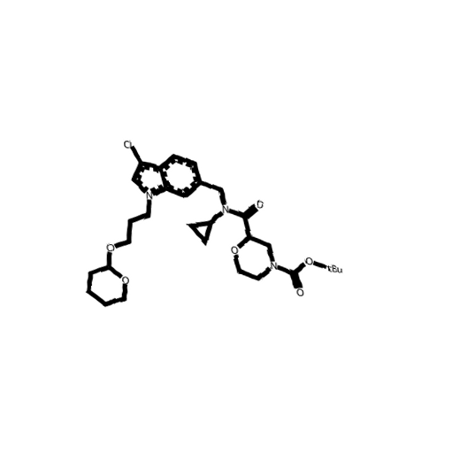 CC(C)(C)OC(=O)N1CCOC(C(=O)N(Cc2ccc3c(Cl)cn(CCCOC4CCCCO4)c3c2)C2CC2)C1